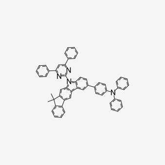 CC1(C)c2ccccc2-c2cc3c4cc(-c5ccc(N(c6ccccc6)c6ccccc6)cc5)ccc4n(-c4nc(-c5ccccc5)cc(-c5ccccc5)n4)c3cc21